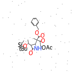 CC(=O)OCC(=O)C(C)(C(=O)OCc1ccccc1)C1NC(=O)C1C(C)O[Si](C)(C)C(C)(C)C